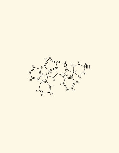 O=C(OCCC(c1ccccc1)(c1ccccc1)c1ccccc1)C1(c2ccccc2)CCNCC1